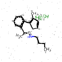 CCCC[NH][Ti][CH](C)c1ccccc1C1=C(C)C=CC1.Cl.Cl